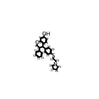 Oc1ccc2c(c1)OCC(c1ccccc1)C2c1ccc(SCCN2CCCC2)cc1